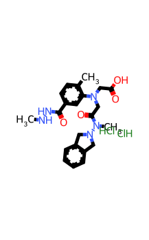 CNNC(=O)c1ccc(C)c(N(CC(=O)O)CC(=O)N(C)N2Cc3ccccc3C2)c1.Cl.Cl